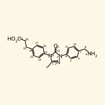 Cc1nn(-c2ccc(CN)cc2)c(=O)n1-c1ccc(CCC(=O)O)cc1